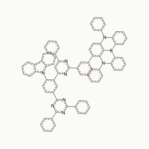 c1ccc(-c2cc(-c3cc(-c4nc(-c5ccccc5)nc(-c5ccccc5)n4)ccc3-n3c4ccccc4c4ccccc43)nc(-c3cccc(-c4ccc5c6c4N(c4ccccc4)c4ccccc4B6c4ccccc4N5c4ccccc4)c3)n2)cc1